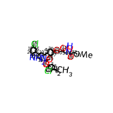 C=C(/C=C\C(Cl)=C/C)OC(=O)N1CCC(c2cc(Cl)ccc2N)=CC1c1ccc(OCC(O)CNC(=O)COC)cc1